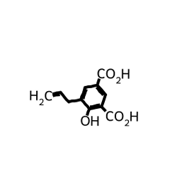 C=CCc1cc(C(=O)O)cc(C(=O)O)c1O